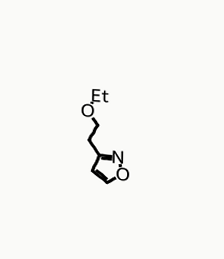 [CH2]COCCc1ccon1